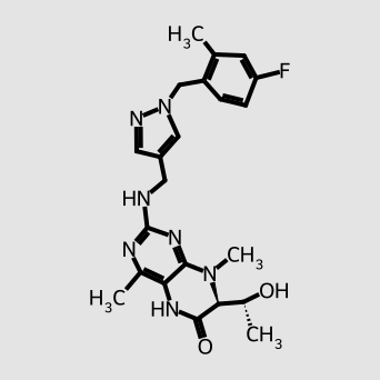 Cc1cc(F)ccc1Cn1cc(CNc2nc(C)c3c(n2)N(C)[C@@H]([C@@H](C)O)C(=O)N3)cn1